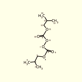 CC(C)COC(=O)OOC(=O)OCC(C)C